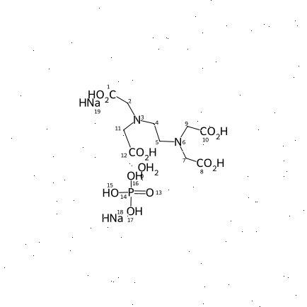 O.O=C(O)CN(CCN(CC(=O)O)CC(=O)O)CC(=O)O.O=P(O)(O)O.[NaH].[NaH]